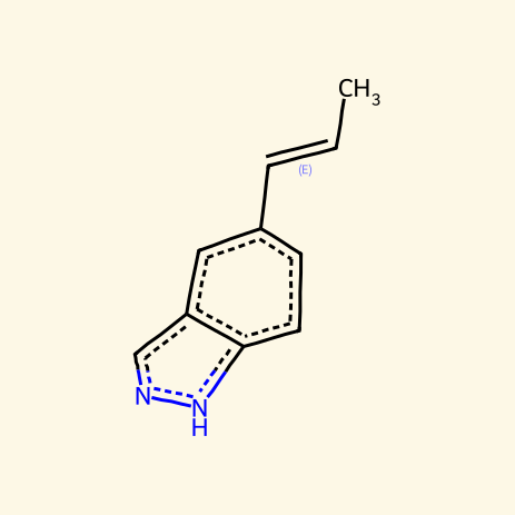 C/C=C/c1ccc2[nH]ncc2c1